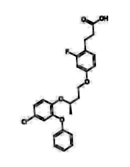 C[C@H](CCOc1ccc(CCC(=O)O)c(F)c1)Oc1ccc(Cl)cc1Oc1ccccc1